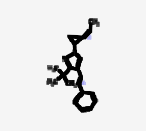 C/C=C1\CC1n1cc(/C=C/c2ccccc2)c(C(C)(C)C)n1